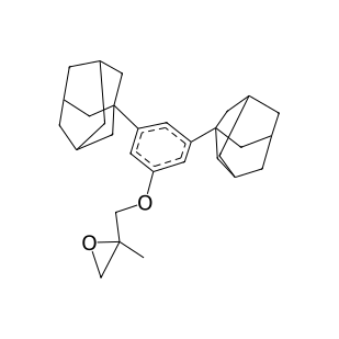 CC1(COc2cc(C34CC5CC(CC(C5)C3)C4)cc(C34CC5CC(CC(C5)C3)C4)c2)CO1